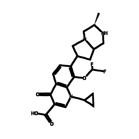 C[C@H]1CN2CC(c3ccc4c(=O)c(C(=O)O)cn(C5CC5)c4c3OC(F)F)CC2CN1